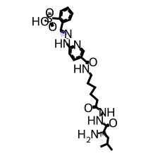 CC(C)C[C@@H](N)C(=O)NNC(=O)CCCCCNC(=O)c1ccc(N/N=C/c2ccccc2S(=O)(=O)O)nc1